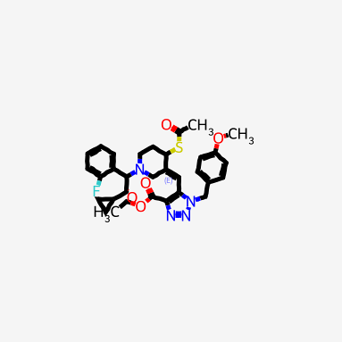 CCOC(=O)c1nnn(Cc2ccc(OC)cc2)c1/C=C1\CN(C(C(=O)C2CC2)c2ccccc2F)CCC1SC(C)=O